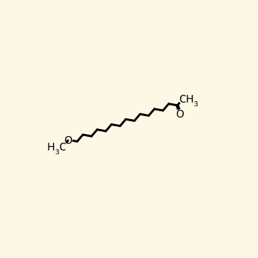 COCCCCCCCCCCCCCCC(C)=O